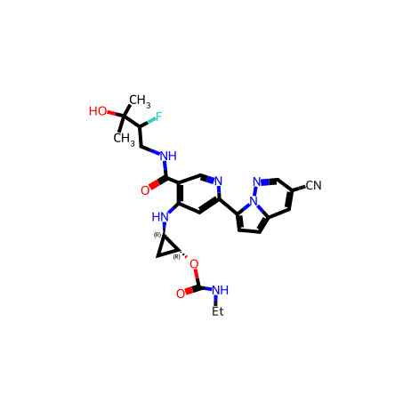 CCNC(=O)O[C@@H]1C[C@H]1Nc1cc(-c2ccc3cc(C#N)cnn23)ncc1C(=O)NCC(F)C(C)(C)O